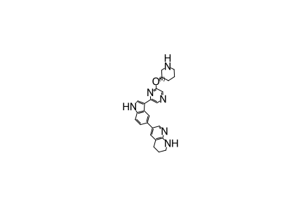 c1cc2[nH]cc(-c3cncc(O[C@@H]4CCCNC4)n3)c2cc1-c1cnc2c(c1)CCCN2